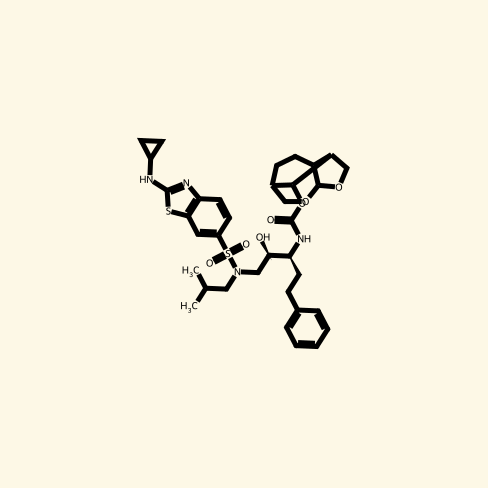 CC(C)CN(C[C@@H](O)[C@H](CCc1ccccc1)NC(=O)OC1C2CCC3C(OC2)OCC31)S(=O)(=O)c1ccc2nc(NC3CC3)sc2c1